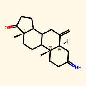 C=C1CC2C3CCC(=O)[C@@]3(C)CCC2[C@@]2(C)CCC(=N)C[C@H]12